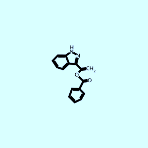 C=C(OC(=O)c1ccccc1)c1n[nH]c2ccccc12